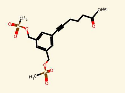 COC(=O)CCCC#Cc1cc(COS(C)(=O)=O)cc(COS(C)(=O)=O)c1